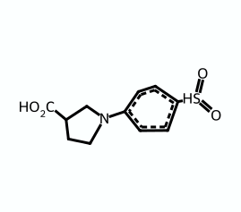 O=C(O)C1CCN(c2ccc([SH](=O)=O)cc2)C1